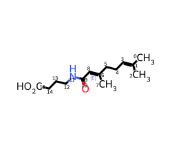 CC(C)=CCC/C(C)=C/C(=O)NCCCC(=O)O